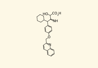 N=C(C(O)C(=O)O)C(c1ccc(OCc2ccc3ccccc3n2)cc1)C1CCCCC1